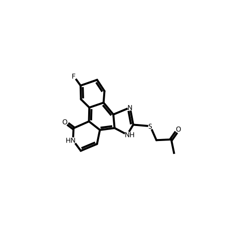 CC(=O)CSc1nc2c3ccc(F)cc3c3c(=O)[nH]ccc3c2[nH]1